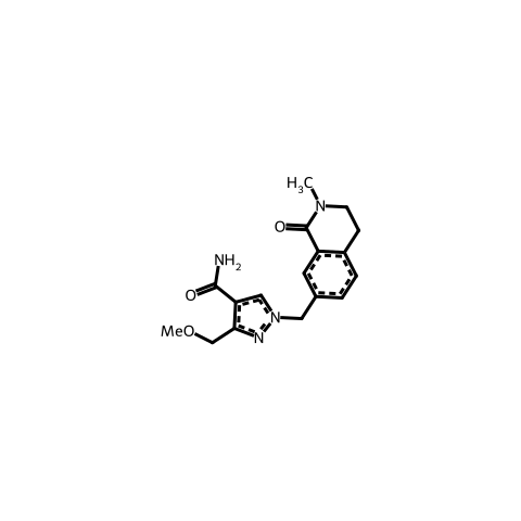 COCc1nn(Cc2ccc3c(c2)C(=O)N(C)CC3)cc1C(N)=O